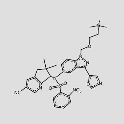 CC1(C)Cc2cc(C#N)cnc2C1N(c1ccc2c(c1)c(-c1cnco1)nn2COCC[Si](C)(C)C)S(=O)(=O)c1ccccc1[N+](=O)[O-]